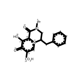 CC(C)N1CC(Cc2ccccc2)n2cc(C(=O)O)c(=O)c(O)c2C1=O